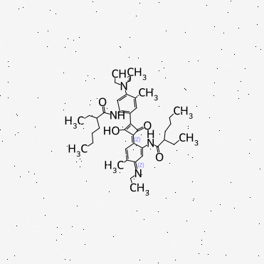 CCCCC(CC)C(=O)NC1=CC(=N/CC)/C(C)=CC/1=C1/C(=O)C(c2cc(C)c(N(CC)CC)cc2NC(=O)C(CC)CCCC)=C1O